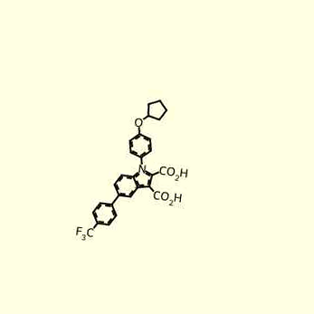 O=C(O)c1c(C(=O)O)n(-c2ccc(OC3CCCC3)cc2)c2ccc(-c3ccc(C(F)(F)F)cc3)cc12